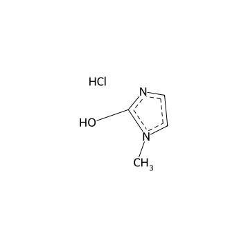 Cl.Cn1ccnc1O